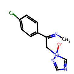 CN=C(C[N+]1([O-])C=NC=N1)c1ccc(Cl)cc1